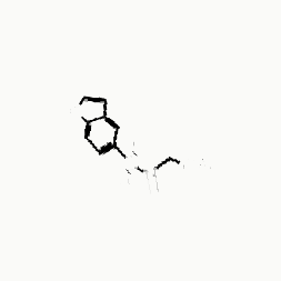 CC(=O)OCNS(=O)(=O)c1ccc2occc2c1